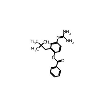 CC(C)(C)Cc1cc(N=C(N)N)ccc1OC(=O)c1ccccc1